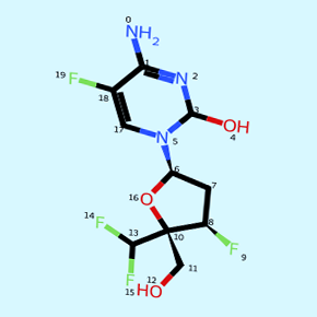 NC1=NC(O)N([C@H]2C[C@@H](F)[C@](CO)(C(F)F)O2)C=C1F